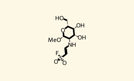 CO[C@@H]1O[C@H](CO)[C@H](O)[C@H](O)[C@@H]1N/C=C/S(=O)(=O)F